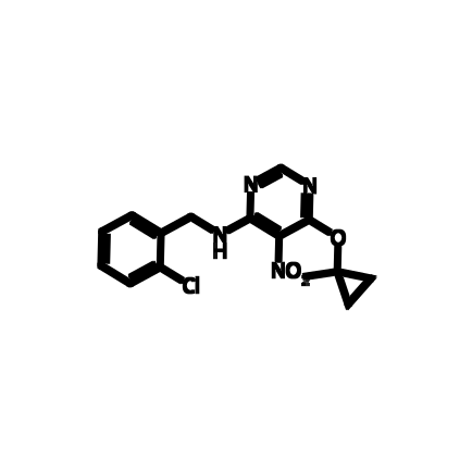 CC1(Oc2ncnc(NCc3ccccc3Cl)c2[N+](=O)[O-])CC1